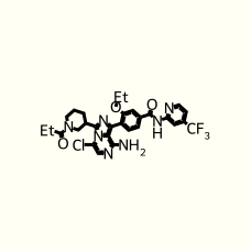 CCOc1cc(C(=O)Nc2cc(C(F)(F)F)ccn2)ccc1-c1nc(C2CCCN(C(=O)CC)C2)n2c(Cl)cnc(N)c12